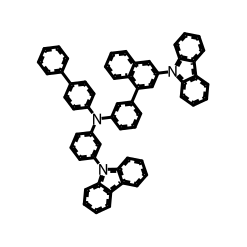 c1ccc(-c2ccc(N(c3cccc(-c4cc(-n5c6ccccc6c6ccccc65)cc5ccccc45)c3)c3cccc(-n4c5ccccc5c5ccccc54)c3)cc2)cc1